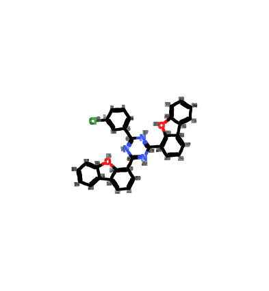 Clc1cccc(-c2nc(-c3cccc4c3oc3ccccc34)nc(-c3cccc4c3oc3ccccc34)n2)c1